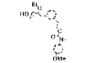 CCOC(Cc1cccc(CCOC(=O)Nc2ccc(OC)cc2)c1)C(=O)O